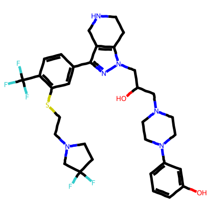 Oc1cccc(N2CCN(CC(O)Cn3nc(-c4ccc(C(F)(F)F)c(SCCN5CCC(F)(F)C5)c4)c4c3CCNC4)CC2)c1